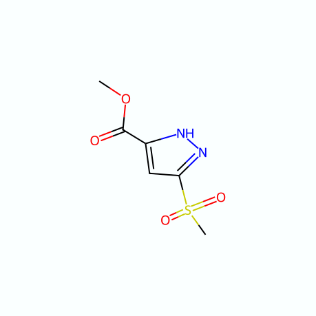 COC(=O)c1cc(S(C)(=O)=O)n[nH]1